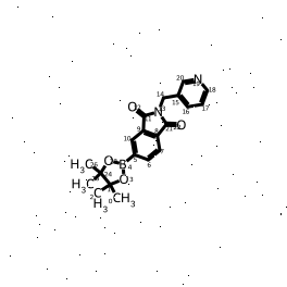 CC1(C)OB(c2ccc3c(c2)C(=O)N(Cc2cccnc2)C3=O)OC1(C)C